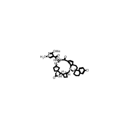 COc1nn(C)cc1C(=O)NS1(=O)=NC(=O)c2ccc3c(c2)N(C[C@@H]2CC[C@H]2[C@H]2OC(=O)C[C@]24CC[C@H](C4)C1)C[C@@]1(CCCc2cc(Cl)ccc21)CC3